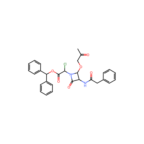 CC(=O)COC1C(NC(=O)Cc2ccccc2)C(=O)N1C(Cl)C(=O)OC(c1ccccc1)c1ccccc1